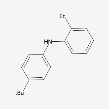 CCc1ccccc1Nc1ccc(C(C)(C)C)cc1